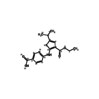 CCOC(=O)c1cc(C(C)C)sc1Nc1ccc(C(=O)O)cn1